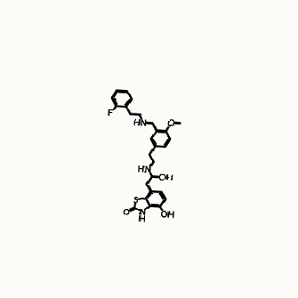 COc1ccc(CCNC(O)Cc2ccc(O)c3[nH]c(=O)sc23)cc1CNCCc1ccccc1F